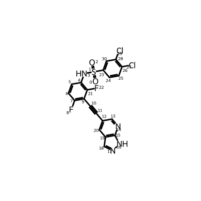 O=S(=O)(Nc1ccc(F)c(C#Cc2cnc3[nH]ncc3c2)c1F)c1ccc(Cl)c(Cl)c1